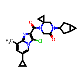 O=C1CN(C(=O)c2nc3c(C(F)(F)F)cc(C4CC4)cn3c2Cl)C2(CC2)CN1C1CC2CC2C1